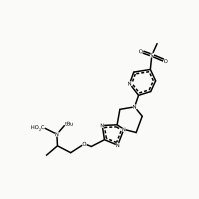 CC(COCc1nc2n(n1)CCN(c1ccc(S(C)(=O)=O)cn1)C2)N(C(=O)O)C(C)(C)C